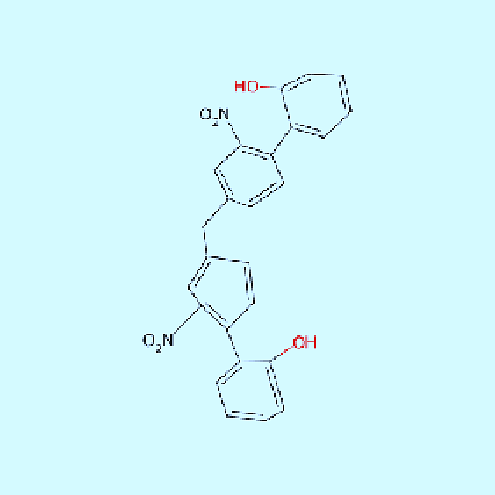 O=[N+]([O-])c1cc(Cc2ccc(-c3ccccc3O)c([N+](=O)[O-])c2)ccc1-c1ccccc1O